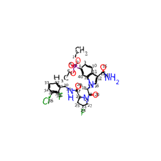 CCOP(=O)(OCC)c1ccc2c(C(N)=O)cn(CC(=O)N3C[C@H](F)C[C@H]3C(=O)NCc3cccc(Cl)c3F)c2c1